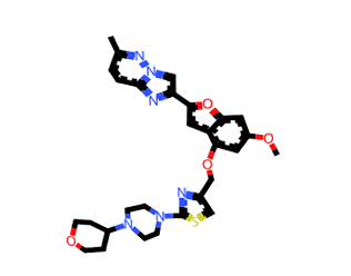 COc1cc(OCc2csc(N3CCN(C4CCOCC4)CC3)n2)c2cc(-c3cn4nc(C)ccc4n3)oc2c1